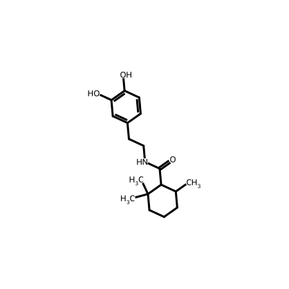 CC1CCCC(C)(C)C1C(=O)NCCc1ccc(O)c(O)c1